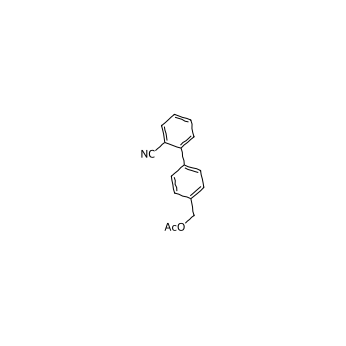 CC(=O)OCc1ccc(-c2ccccc2C#N)cc1